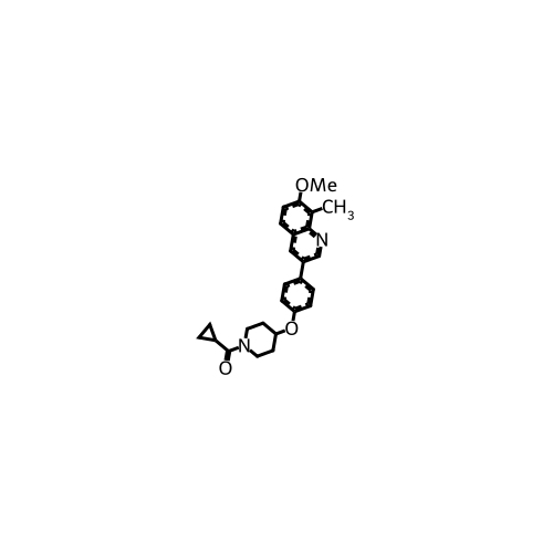 COc1ccc2cc(-c3ccc(OC4CCN(C(=O)C5CC5)CC4)cc3)cnc2c1C